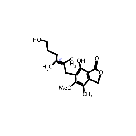 COc1c(C)c2c(c(O)c1C/C(C)=C(\C)CCCO)C(=O)OC2